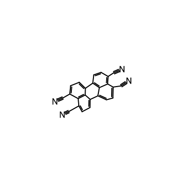 N#Cc1ccc2c3ccc(C#N)c4c(C#N)ccc(c5ccc(C#N)c1c25)c43